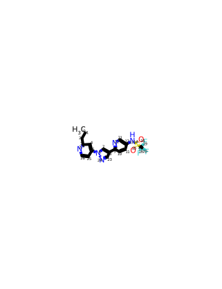 CCCc1cc(-n2cc(-c3ccc(NS(=O)(=O)C(F)(F)F)cn3)cn2)ccn1